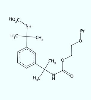 CC(C)OCCOC(=O)NC(C)(C)c1cccc(C(C)(C)NC(=O)O)c1